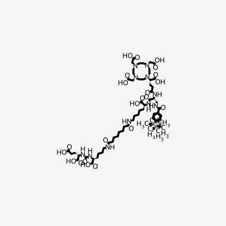 CC(C)(C)[Si](F)(c1ccc(C(=O)NC[C@@H](NC(=O)CC[C@@H](C(=O)O)N2CCN(CC(=O)O)CCN(CC(=O)O)CCN(CC(=O)O)CC2)C(=O)N[C@@H](CCCCCNC(=O)CCCCCCC(=O)NCCCC[C@H](NC(=O)N[C@@H](CCC(=O)O)C(=O)O)C(=O)O)C(=O)O)cc1)C(C)(C)C